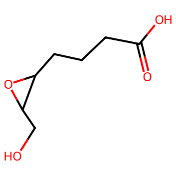 O=C(O)CCCC1OC1CO